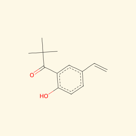 C=Cc1ccc(O)c(C(=O)C(C)(C)C)c1